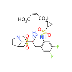 N[C@H](Cc1cc(F)c(F)cc1F)C1CC2CCN(C1)C2S(=O)(=O)CCNS(=O)(=O)C1CC1.O=C(O)/C=C\C(=O)O